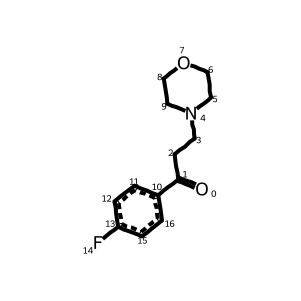 O=C(CCN1CCOCC1)c1ccc(F)cc1